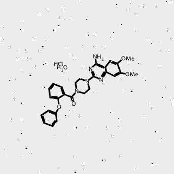 COc1cc2nc(N3CCN(C(=O)c4ccccc4Oc4ccccc4)CC3)nc(N)c2cc1OC.Cl.O